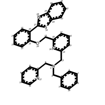 c1ccc(CN(Cc2ccccn2)Cc2cccc(COc3ccccc3-c3nc4ccccc4s3)n2)cc1